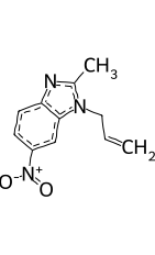 C=CCn1c(C)nc2ccc([N+](=O)[O-])cc21